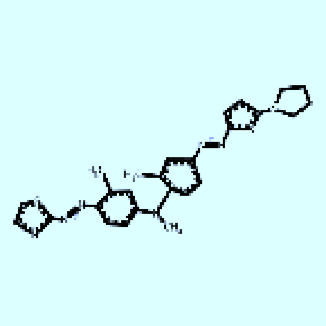 Cc1cc(N(C)c2ccc(/N=N/c3ccc(N4CCCC4)s3)cc2C)ccc1/N=N/c1nccs1